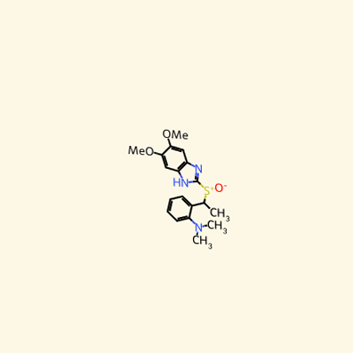 COc1cc2nc([S+]([O-])C(C)c3ccccc3N(C)C)[nH]c2cc1OC